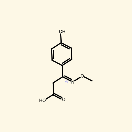 CO/N=C(/CC(=O)O)c1ccc(O)cc1